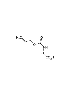 C=CCOC(=O)NOC(=O)O